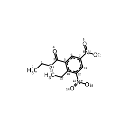 CCSC(=O)c1cc([N+](=O)[O-])cc([N+](=O)[O-])c1CC